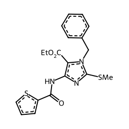 CCOC(=O)c1c(NC(=O)c2cccs2)nc(SC)n1Cc1ccccc1